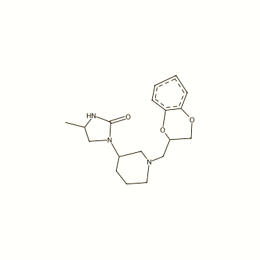 CC1CN(C2CCCN(CC3COc4ccccc4O3)C2)C(=O)N1